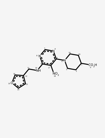 O=C(O)C1CCN(c2ncnc(NCc3ccoc3)c2[N+](=O)[O-])CC1